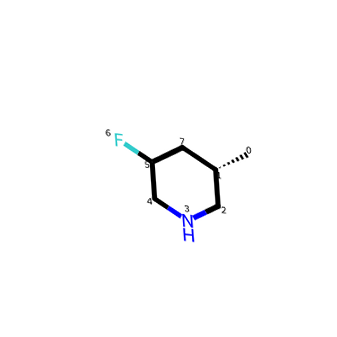 C[C@@H]1CNCC(F)C1